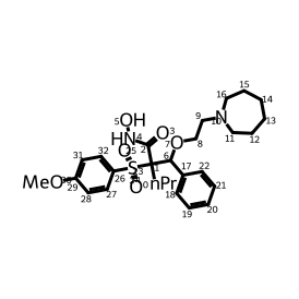 CCCC(C(=O)NO)(C(OCCN1CCCCCC1)c1ccccc1)S(=O)(=O)c1ccc(OC)cc1